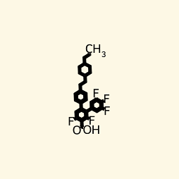 CCCC1CCC(CCc2ccc(-c3cc(F)c(C(=O)O)c(F)c3-c3cc(F)c(F)c(F)c3)cc2)CC1